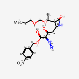 CCC(OCOCCOC)C1C(=O)NC1CC(=O)C(=[N+]=[N-])C(=O)OCc1ccc([N+](=O)[O-])cc1